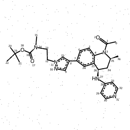 CC(=O)N1c2ccc(-c3cnn(CCN(C)C(=O)OC(C)(C)C)c3)cc2[C@H](Nc2ccncc2)C[C@@H]1C